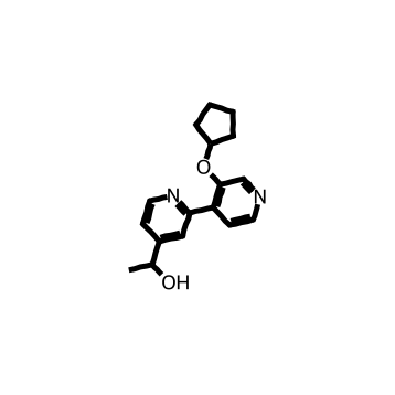 CC(O)c1ccnc(-c2ccncc2OC2CCCC2)c1